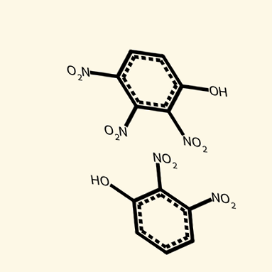 O=[N+]([O-])c1ccc(O)c([N+](=O)[O-])c1[N+](=O)[O-].O=[N+]([O-])c1cccc(O)c1[N+](=O)[O-]